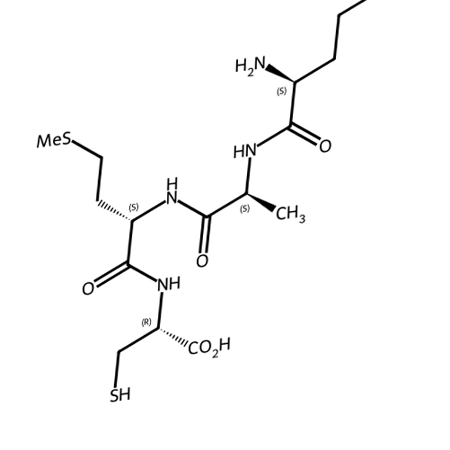 CSCC[C@H](NC(=O)[C@H](C)NC(=O)[C@@H](N)CCSC)C(=O)N[C@@H](CS)C(=O)O